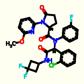 COc1cccc(N2C(=O)CC[C@H]2C(=O)N(c2cccc(F)c2)[C@H](C(=O)NC2CC(F)(F)C2)c2ccccc2Cl)n1